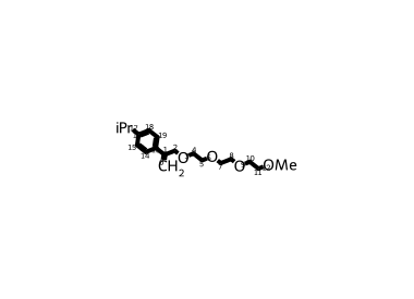 C=C(COCCOCCOCCOC)c1ccc(C(C)C)cc1